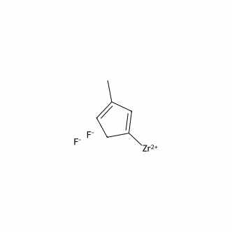 CC1=CC[C]([Zr+2])=C1.[F-].[F-]